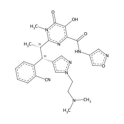 C[C@H](c1nc(C(=O)Nc2cnoc2)c(O)c(=O)n1C)[C@H](c1cnn(CCN(C)C)c1)c1ccccc1C#N